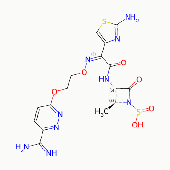 C[C@H]1[C@H](NC(=O)/C(=N\OCCOc2ccc(C(=N)N)nn2)c2csc(N)n2)C(=O)N1S(=O)O